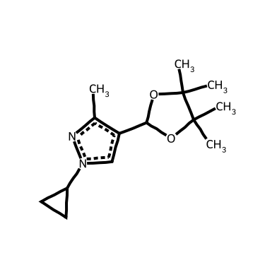 Cc1nn(C2CC2)cc1C1OC(C)(C)C(C)(C)O1